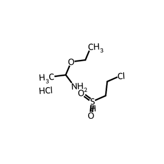 CCOC(C)N.Cl.O=[SH](=O)CCCl